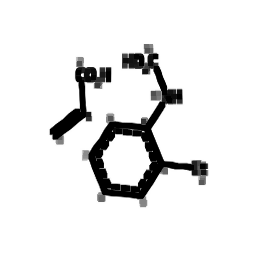 C=CC(=O)O.CCc1ccccc1NC(=O)O